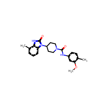 COc1cc(NC(=O)N2CCC(n3c(=O)[nH]c4c(C)cccc43)CC2)ccc1C